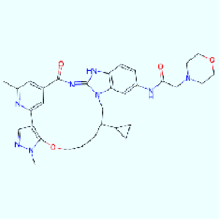 Cc1cc2cc(n1)-c1cnn(C)c1OCCCC(C1CC1)CN1/C(=N/C2=O)Nc2ccc(NC(=O)CN3CCOCC3)cc21